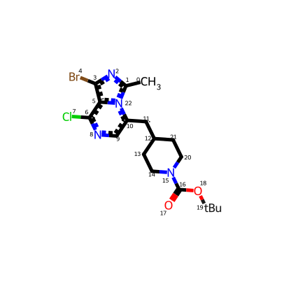 Cc1nc(Br)c2c(Cl)ncc([CH]C3CCN(C(=O)OC(C)(C)C)CC3)n12